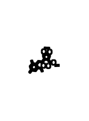 CCOC(=O)C1CC2(CC1C(=O)Cc1c(C)cc(C)cc1CC)OCCO2